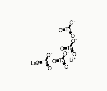 [La+3].[Li+].[O]=[Ta](=[O])[O-].[O]=[Ta](=[O])[O-].[O]=[Ta](=[O])[O-].[O]=[Ta](=[O])[O-]